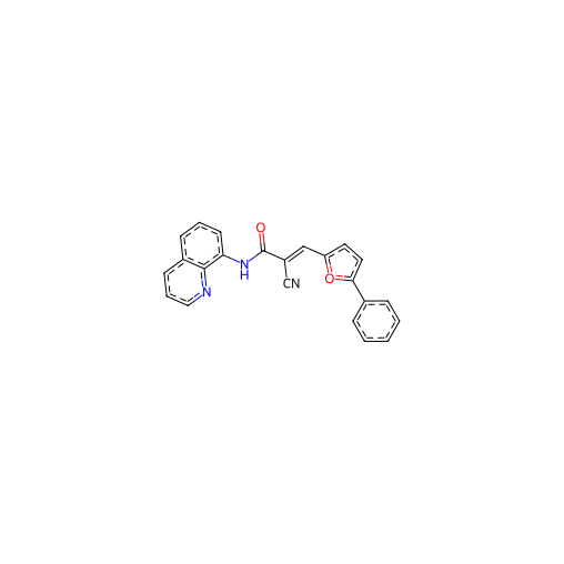 N#C/C(=C\c1ccc(-c2ccccc2)o1)C(=O)Nc1cccc2cccnc12